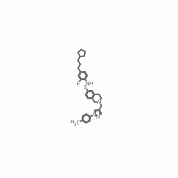 Cc1ccc(-n2cc(CN3CCc4cc(SNc5ccc(CCCC6CCCC6)cc5F)ccc4C3)cn2)cc1